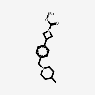 CC1CCN(Cc2ccc(C3CN(C(=O)OC(C)(C)C)C3)cc2)CC1